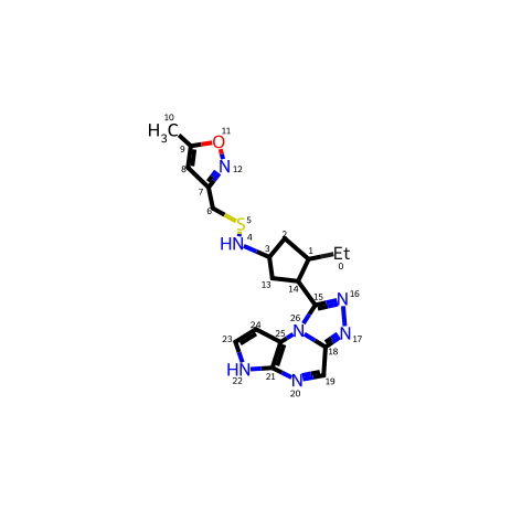 CCC1CC(NSCc2cc(C)on2)CC1c1nnc2cnc3[nH]ccc3n12